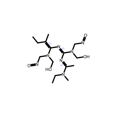 CC/C(C)=C(/N=C(\N=C(/C)N(C)CC)N(CO)CN=O)N(CO)CN=O